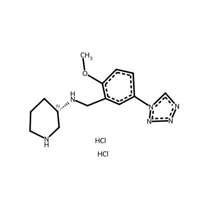 COc1ccc(-n2cnnn2)cc1CN[C@H]1CCCNC1.Cl.Cl